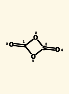 O=C1O[Si](=O)O1